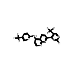 FC(F)(F)c1ccc(Nc2ccnc3nc(-c4nc(Cl)ncc4C(F)(F)F)ccc23)nc1